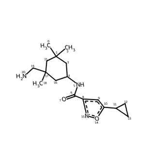 CC1(C)CC(NC(=O)c2cc(C3CC3)on2)CC(C)(CN)C1